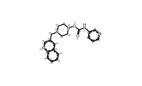 O=C(Nc1cccnc1)ON1CCN(Cc2cnc3ccccc3c2)CC1